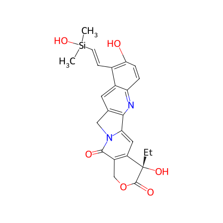 CC[C@@]1(O)C(=O)OCc2c1cc1n(c2=O)Cc2cc3c(/C=C/[Si](C)(C)O)c(O)ccc3nc2-1